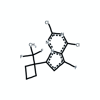 CC(F)(F)C1(c2cc(F)c3c(Cl)nc(Cl)nn23)CCC1